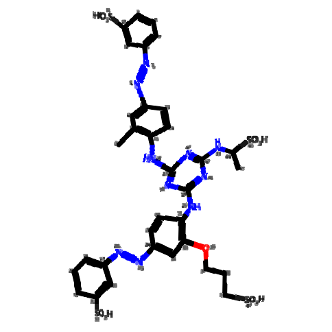 Cc1cc(N=Nc2cccc(S(=O)(=O)O)c2)ccc1Nc1nc(Nc2ccc(N=Nc3cccc(S(=O)(=O)O)c3)cc2OCCCS(=O)(=O)O)nc(NC(C)S(=O)(=O)O)n1